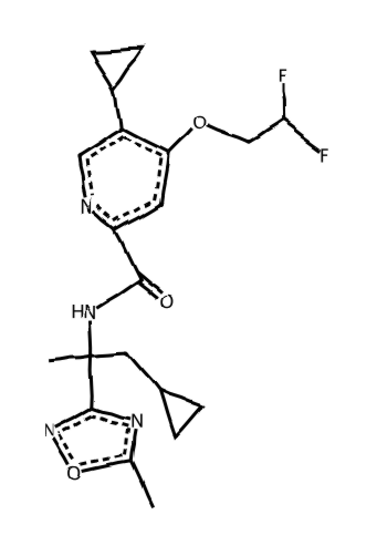 Cc1nc(C(C)(CC2CC2)NC(=O)c2cc(OCC(F)F)c(C3CC3)cn2)no1